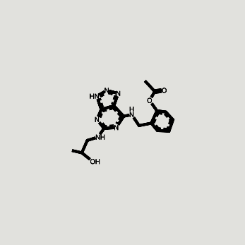 CC(=O)Oc1ccccc1CNc1nc(NCC(C)O)nc2[nH]nnc12